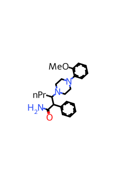 CCCC(C(C(N)=O)c1ccccc1)N1CCN(c2ccccc2OC)CC1